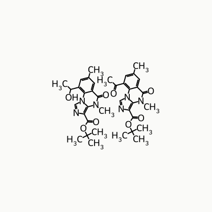 CC(=O)c1cc(C)cc2c(=O)n(C)c3c(C(=O)OC(C)(C)C)ncn3c12.Cc1cc(C(C)O)c2c(c1)c(=O)n(C)c1c(C(=O)OC(C)(C)C)ncn21